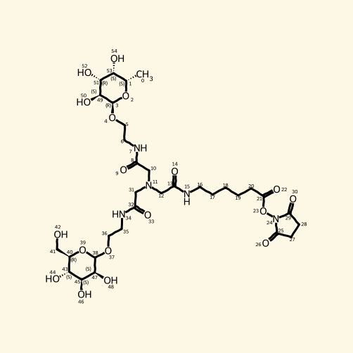 C[C@@H]1O[C@@H](OCCNC(=O)CN(CC(=O)NCCCCCC(=O)ON2C(=O)CCC2=O)CC(=O)NCCOC2O[C@H](CO)[C@@H](O)[C@H](O)[C@@H]2O)[C@@H](O)[C@H](O)[C@@H]1O